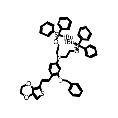 CC(C)(C)[Si](OCCN(CCO[Si](c1ccccc1)(c1ccccc1)C(C)(C)C)c1ccc(/C=C/c2scc3c2OCCO3)c(OCc2ccccc2)c1)(c1ccccc1)c1ccccc1